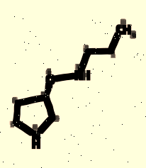 CCCNO[C@@H]1CCNC1